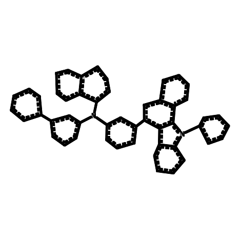 c1ccc(-c2cccc(N(c3cccc(-c4cc5ccccc5c5c4c4ccccc4n5-c4ccccc4)c3)c3cccc4ccccc34)c2)cc1